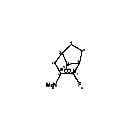 CNC1CC2CCC(C1F)N2C(=O)O